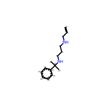 C=CCNCCCNC(C)(C)c1ccccc1